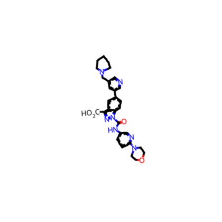 O=C(O)c1nn(C(=O)Nc2ccc(N3CCOCC3)nc2)c2ccc(-c3cncc(CN4CCCCC4)c3)cc12